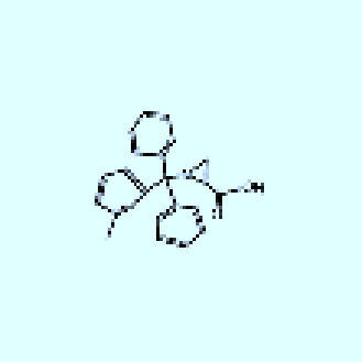 Cc1cccc(C(c2ccccc2)(c2ccccc2)N2CC2C(=O)O)c1